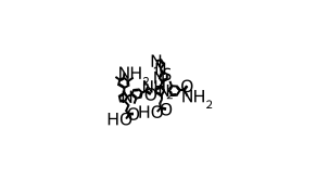 Cc1cc(C(N)=O)ccc1-n1c(CCC(=O)O)ccc1-c1cc(C)c(N)c(C)c1.Cc1cc(C(N)=O)ccc1-n1c(CCC(=O)O)ccc1-c1csc(-n2ccnc2)n1